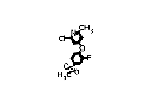 Cc1cc(Oc2ccc(S(C)(=O)=O)cc2F)cc(Cl)n1